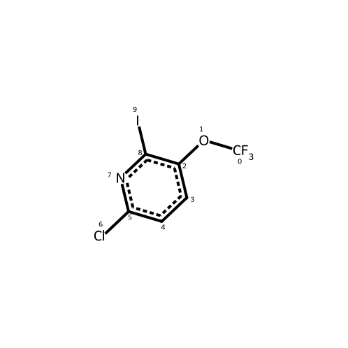 FC(F)(F)Oc1ccc(Cl)nc1I